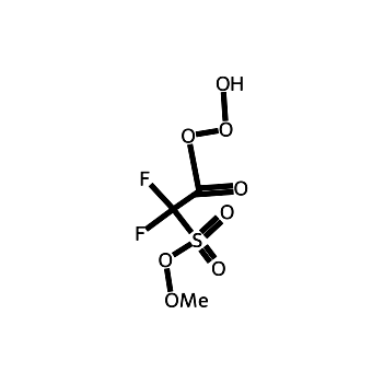 COOS(=O)(=O)C(F)(F)C(=O)OOO